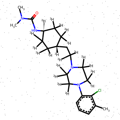 [2H]C([2H])(C[C@]1([2H])C([2H])([2H])C([2H])([2H])[C@@]([2H])(NC(=O)N(C)C)C([2H])([2H])C1([2H])[2H])N1C([2H])([2H])C([2H])([2H])N(c2cccc(C)c2Cl)C([2H])([2H])C1([2H])[2H]